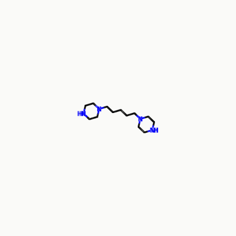 C(CCN1CCNCC1)CCN1CCNCC1